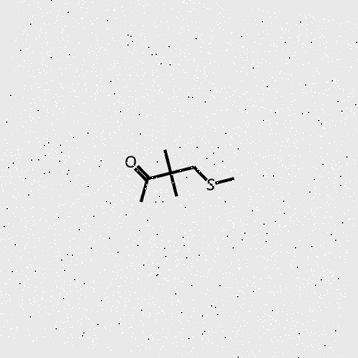 CSCC(C)(C)C(C)=O